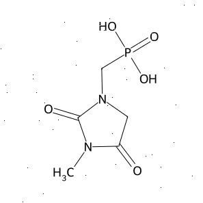 CN1C(=O)CN(CP(=O)(O)O)C1=O